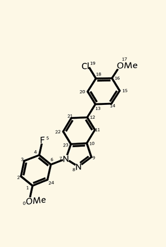 COc1ccc(F)c(-n2ncc3cc(-c4ccc(OC)c(Cl)c4)ccc32)c1